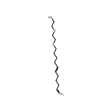 C=CCCC/C=C/CCCCOCCOCCO